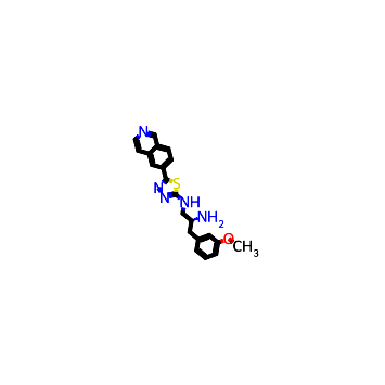 COc1cccc(C[C@H](N)CNc2nnc(-c3ccc4cnccc4c3)s2)c1